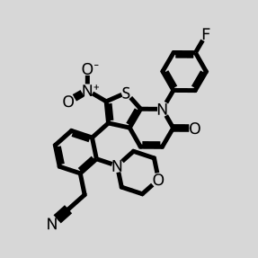 N#CCc1cccc(-c2c([N+](=O)[O-])sc3c2ccc(=O)n3-c2ccc(F)cc2)c1N1CCOCC1